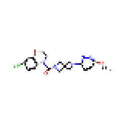 COc1ccc(N2CC3(CN(C(=O)N4CCOc5cc(Cl)ccc54)C3)C2)nn1